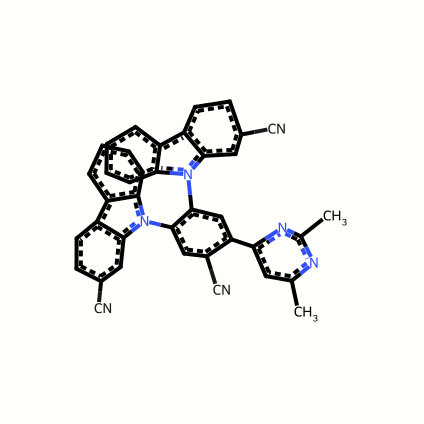 Cc1cc(-c2cc(-n3c4ccccc4c4ccc(C#N)cc43)c(-n3c4ccccc4c4ccc(C#N)cc43)cc2C#N)nc(C)n1